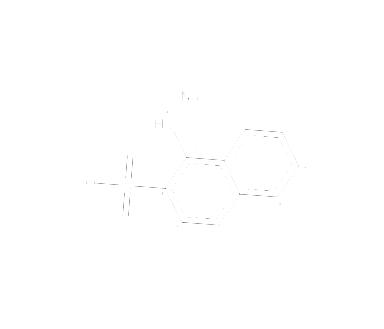 O=S(=O)([O-])c1ccc2ccccc2c1O.[Na+]